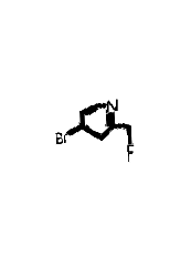 FCc1cc(Br)ccn1